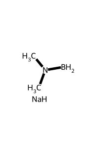 BN(C)C.[NaH]